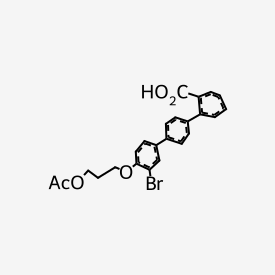 CC(=O)OCCCOc1ccc(-c2ccc(-c3ccccc3C(=O)O)cc2)cc1Br